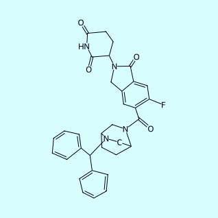 O=C1CCC(N2Cc3cc(C(=O)N4CC5CCC4CN5C(c4ccccc4)c4ccccc4)c(F)cc3C2=O)C(=O)N1